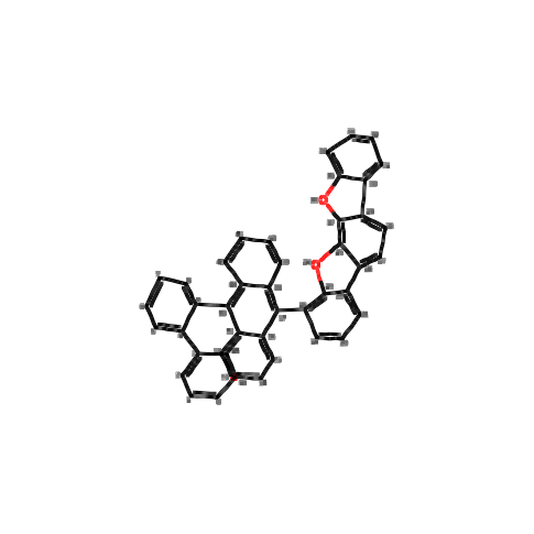 c1ccc(-c2ccccc2-c2c3ccccc3c(-c3cccc4c3oc3c4ccc4c5ccccc5oc43)c3ccccc23)cc1